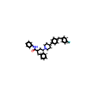 O=C(Nc1ccccc1)C(CCN1CCC(c2ccc(Cc3ccc(F)cc3)cc2)CC1)Cc1ccccc1